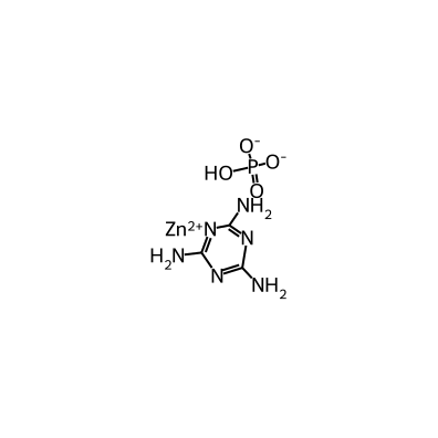 Nc1nc(N)nc(N)n1.O=P([O-])([O-])O.[Zn+2]